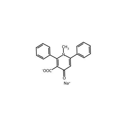 Cn1c(-c2ccccc2)cc(=O)c(C(=O)[O-])c1-c1ccccc1.[Na+]